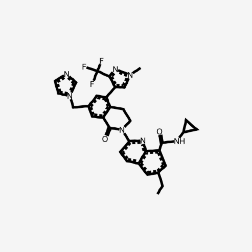 CCc1cc(C(=O)NC2CC2)c2nc(N3CCc4c(cc(Cn5ccnc5)cc4-c4cn(C)nc4C(F)(F)F)C3=O)ccc2c1